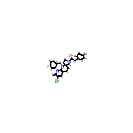 Cc1nc2c(cc1Br)CCC1(CCN(C(=O)Cc3ccc(F)cc3)C1)N2Cc1ccccc1